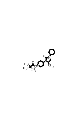 CC1CN(C2CCCCC2)C(=O)N1C1CCN(OC(=O)C(C)(C)C)CC1